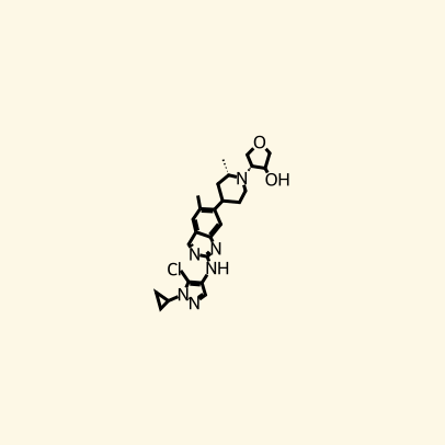 Cc1cc2cnc(Nc3cnn(C4CC4)c3Cl)nc2cc1C1CCN([C@@H]2COCC2O)[C@@H](C)C1